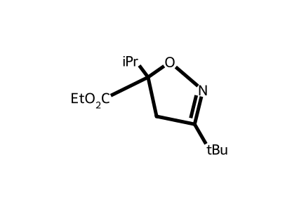 CCOC(=O)C1(C(C)C)CC(C(C)(C)C)=NO1